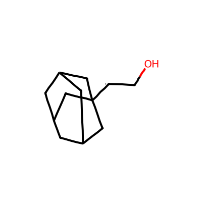 OC[CH]C12CC3CC(CC(C3)C1)C2